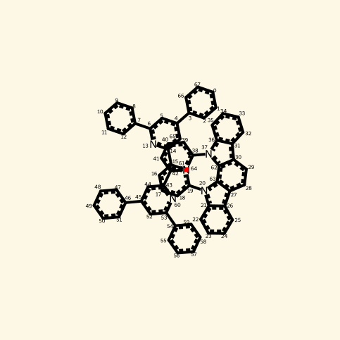 c1ccc(-c2cc(-c3ccccc3)nc(-c3cccc(-n4c5ccccc5c5ccc6c7ccccc7n(-c7cccc(-c8cc(-c9ccccc9)cc(-c9ccccc9)n8)n7)c6c54)n3)c2)cc1